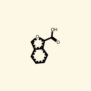 O=C(O)c1occ2ccccc12